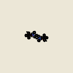 Cc1cccc(C2(c3cc(C)c(N(c4ccccc4)c4ccc5ccc6c(N(c7ccccc7)c7c(C)cc(C8(c9cccc(C)c9)c9ccccc9-c9ccccc98)cc7C)ccc7ccc4c5c76)c(C)c3)c3ccccc3-c3ccccc32)c1